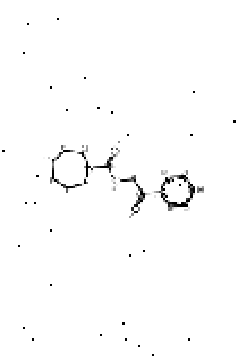 O=C(COC(=O)N1CCCCCC1)c1ccccc1